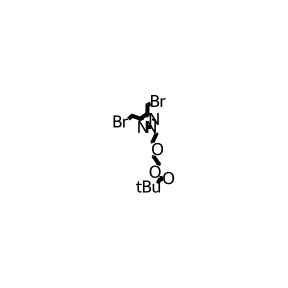 CC(C)(C)C(=O)OCCOCCn1nc(CBr)c(CBr)n1